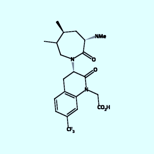 CN[C@H]1C[C@H](C)C(C)CN([C@H]2Cc3ccc(C(F)(F)F)cc3N(CC(=O)O)C2=O)C1=O